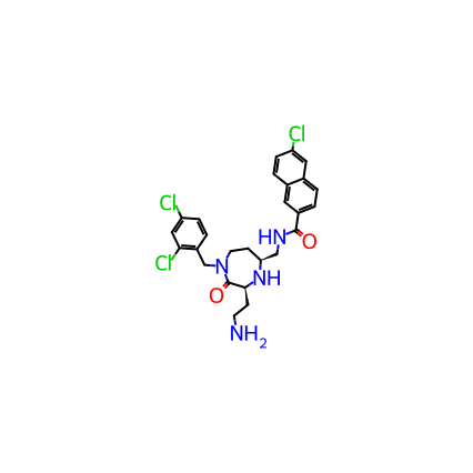 NCC[C@@H]1N[C@H](CNC(=O)c2ccc3cc(Cl)ccc3c2)CCN(Cc2ccc(Cl)cc2Cl)C1=O